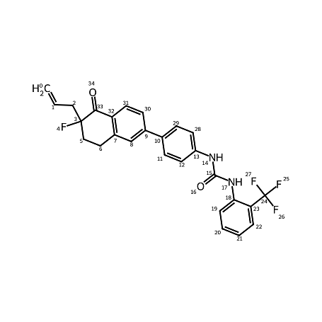 C=CCC1(F)CCc2cc(-c3ccc(NC(=O)Nc4ccccc4C(F)(F)F)cc3)ccc2C1=O